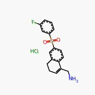 Cl.NCC1=CCCc2cc(S(=O)(=O)c3cccc(F)c3)ccc21